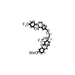 COc1ccc(Cn2ncc(N[C@@H](C)COCc3cc4n(n3)CCN(c3ncc(C(F)(F)F)cc3C#N)C4)c(C(F)(F)F)c2=O)cc1